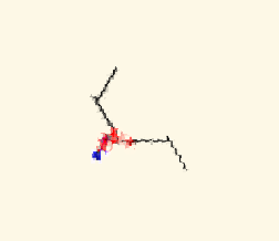 CCCCCCCCCC(C)CCCCCCCCC(=O)OC[C@H](COP(=O)([O-])OCC[N+](C)(C)C)OC(=O)CCCCCCCCC(C)CCCCCCCCC